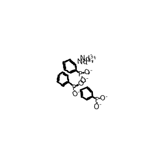 [Nd+3].[Nd+3].[O-]P([O-])c1ccccc1.[O-]P([O-])c1ccccc1.[O-]P([O-])c1ccccc1